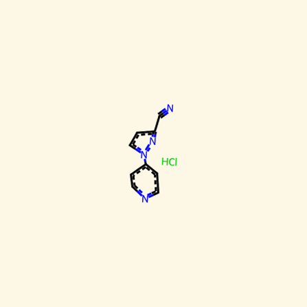 Cl.N#Cc1ccn(-c2ccncc2)n1